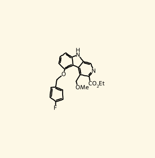 CCOC(=O)c1ncc2[nH]c3cccc(OCc4ccc(F)cc4)c3c2c1COC